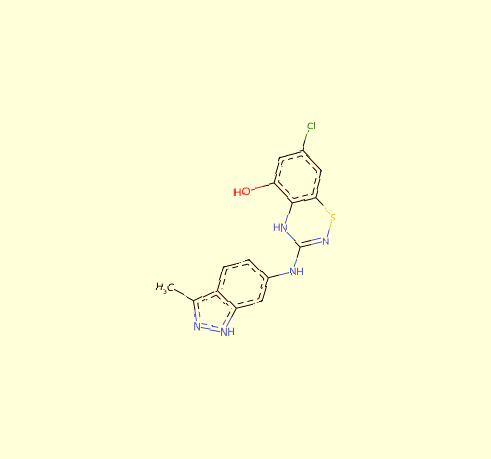 Cc1n[nH]c2cc(NC3=NSc4cc(Cl)cc(O)c4N3)ccc12